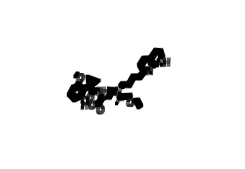 CCOC[C@H](C)N(CCCCc1ccc2c(n1)NCCC2)CC[C@H](NC(=O)C1(c2c(Cl)cccc2OC)CC1)C(=O)O